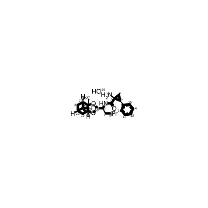 CC(C)C[C@H](NC(=O)[C@]1(N)C[C@H]1c1ccccc1)B1O[C@@H]2C[C@@H]3C[C@@H](C3(C)C)[C@]2(C)O1.Cl